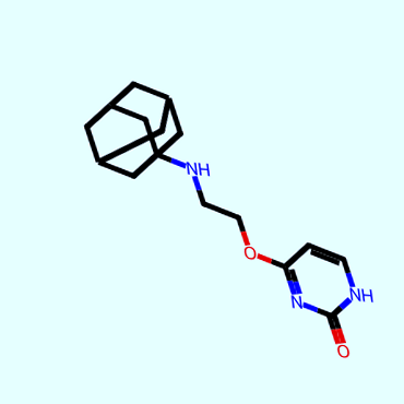 O=c1nc(OCCNC23CC4CC(CC(C4)C2)C3)cc[nH]1